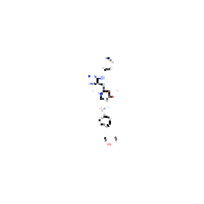 Nc1ncnc2c1c(-c1ccc(NC(=O)c3ccc(N4CCOCC4)cc3)c3c1OCO3)nn2[C@@H]1CCCNC1